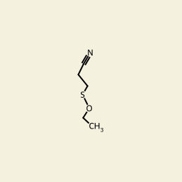 CCOSCCC#N